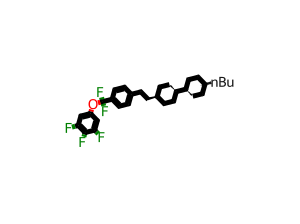 CCCC[C@H]1CC[C@H]([C@H]2CC[C@H](CCc3ccc(C(F)(F)Oc4cc(F)c(F)c(F)c4)cc3)CC2)CC1